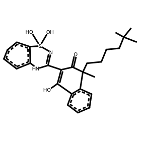 CC(C)(C)CCCCC1(C)C(=O)C(C2=NS(O)(O)c3ccccc3N2)=C(O)c2ccccc21